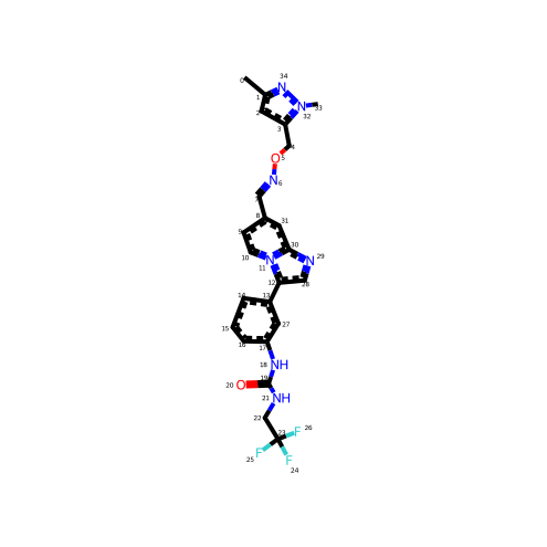 Cc1cc(CON=Cc2ccn3c(-c4cccc(NC(=O)NCC(F)(F)F)c4)cnc3c2)n(C)n1